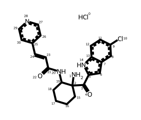 Cl.NC1(C(=O)c2cc3cc(Cl)ccc3[nH]2)CCCCC1NC(=O)C=Cc1ccncc1